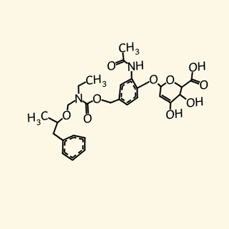 CCN(COC(C)Cc1ccccc1)C(=O)OCc1ccc(OC2C=C(O)C(O)C(C(=O)O)O2)c(NC(C)=O)c1